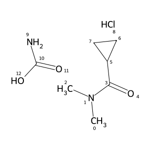 CN(C)C(=O)C1CC1.Cl.NC(=O)O